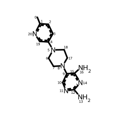 Cc1ccc(N2CCN(c3cnc(N)nc3N)CC2)cn1